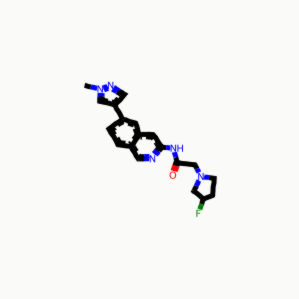 Cn1cc(-c2ccc3cnc(NC(=O)CN4CCC(F)C4)cc3c2)cn1